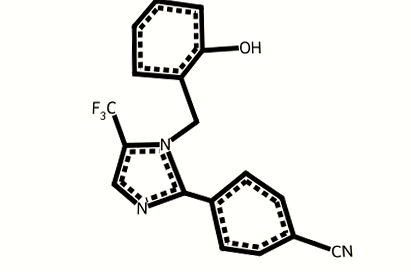 N#Cc1ccc(-c2ncc(C(F)(F)F)n2Cc2ccccc2O)cc1